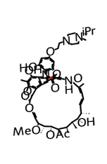 CO[C@H]1/C=C/O[C@@]2(C)Oc3c(C)c(O)c4c(=O)c(c5oc6cc(OCCN7CC[N+](C)(C(C)C)CC7)cc(O)c6nc-5c4c3C2=O)NC(=O)/C(C)=C\C=C\[C@H](C)[C@H](O)[C@@H](C)[C@@H](C)[C@@H](C)[C@H](OC(C)=O)[C@@H]1C